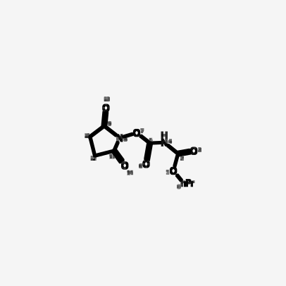 CCCOC(=O)NC(=O)ON1C(=O)CCC1=O